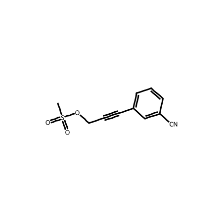 CS(=O)(=O)OCC#Cc1cccc(C#N)c1